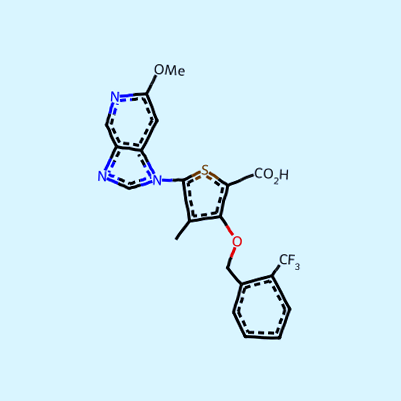 COc1cc2c(cn1)ncn2-c1sc(C(=O)O)c(OCc2ccccc2C(F)(F)F)c1C